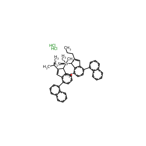 CCCC1=Cc2c(-c3cccc4ccccc34)ccc(C)c2[CH]1[Zr]([CH3])([CH3])(=[SiH2])[CH]1C(C(C)C)=Cc2c(-c3cccc4ccccc34)cccc21.Cl.Cl